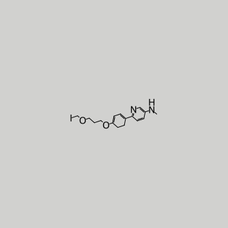 CNc1ccc(C2=CC=C(OCCCOCI)CC2)nc1